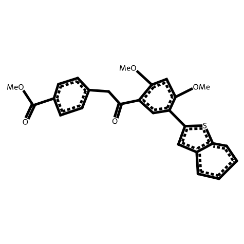 COC(=O)c1ccc(CC(=O)c2cc(-c3cc4ccccc4s3)c(OC)cc2OC)cc1